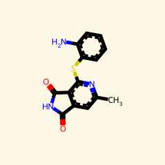 Cc1cc2c(c(Sc3ccccc3N)n1)C(=O)NC2=O